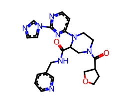 O=C(NCc1cccnc1)C1CN(C(=O)C2CCOC2)CCN1c1ccnc(-n2ccnc2)n1